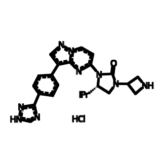 CC(C)[C@H]1CN(C2CNC2)C(=O)N1c1ccn2ncc(-c3ccc(-c4nc[nH]n4)cc3)c2n1.Cl